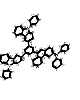 c1ccc(N(c2ccccc2)c2ccc3cc(-c4cc(-c5ccc6c(c5)c5ccccc5n6-c5ccccc5)cc(-c5ccc6c(c5)c5ccccc5n6-c5ccccc5)c4)c4ccccc4c3c2)cc1